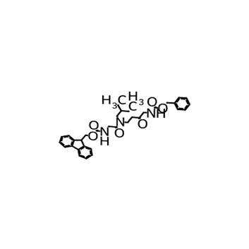 CCC(CC)CN(CCC(=O)CNC(=O)OCc1ccccc1)C(=O)CNC(=O)OCC1c2ccccc2-c2ccccc21